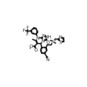 COC(=O)C1=C(C)N(c2cccc(C(F)(F)F)c2)c2n[nH]c(=O)n2C1c1ccc(C#N)cc1CC[N+](C)(C)Cc1nccs1